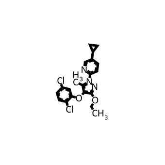 CCOc1nn(-c2ccc(C3CC3)cn2)c(C)c1Oc1cc(Cl)ccc1Cl